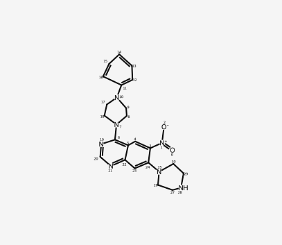 O=[N+]([O-])c1cc2c(N3CCN(c4ccccc4)CC3)ncnc2cc1N1CCNCC1